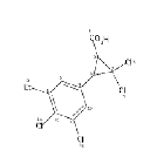 CCc1cc(C2C(C(=O)O)C2(Cl)Cl)cc(Cl)c1Cl